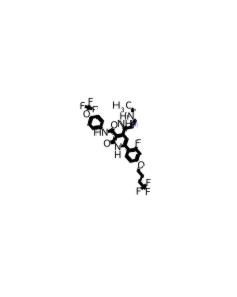 CCN/C=C\C(=N)c1cc(-c2ccc(OCCCC(F)(F)F)cc2F)[nH]c(=O)c1C(=O)Nc1ccc(OC(F)(F)F)cc1